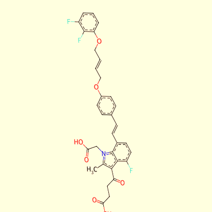 Cc1c(C(=O)CCC(=O)O)c2c(F)ccc(C=Cc3ccc(OCC=CCOc4cccc(F)c4F)cc3)c2n1CC(=O)O